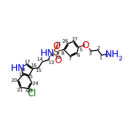 NCCCOc1ccc(S(=O)(=O)NCCCc2c[nH]c3ccc(Cl)cc23)cc1